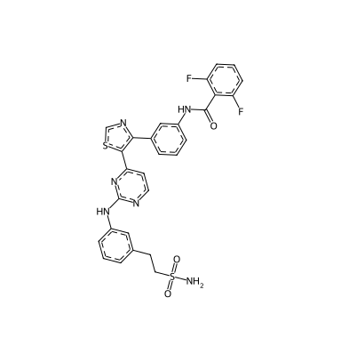 NS(=O)(=O)CCc1cccc(Nc2nccc(-c3scnc3-c3cccc(NC(=O)c4c(F)cccc4F)c3)n2)c1